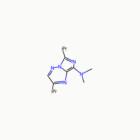 CC(C)c1cnn2c(C(C)C)nc(N(C)C)c2n1